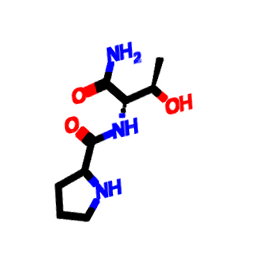 C[C@@H](O)[C@H](NC(=O)C1CCCN1)C(N)=O